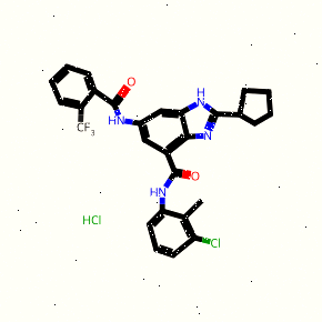 Cc1c(Cl)cccc1NC(=O)c1cc(NC(=O)c2ccccc2C(F)(F)F)cc2[nH]c(C3CCCC3)nc12.Cl